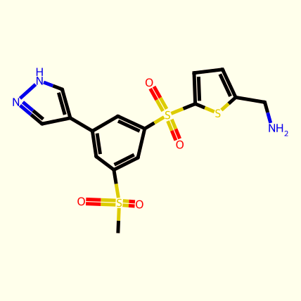 CS(=O)(=O)c1cc(-c2cn[nH]c2)cc(S(=O)(=O)c2ccc(CN)s2)c1